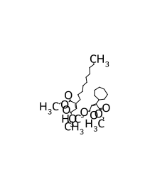 CCCCCCCCCCC(=CC(=O)OCC)C(=O)OCC.CCOC(=O)C=C(C(=O)OCC)C1CCCCCC1